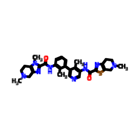 Cc1c(NC(=O)c2nc3c(s2)CN(C)CC3)cncc1-c1cccc(NC(=O)c2nc3c(n2C)CCN(C)C3)c1C